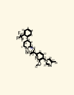 C=C(/N=C1/C[C@H](c2ccccc2C(F)(F)F)CCN1N)c1ccc(-n2cnc(C)c2)c(OC)n1